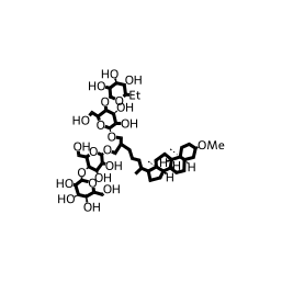 CCC1O[C@@H](OC2C(CO)O[C@@H](OCC(CCCC(C)C3CC[C@H]4[C@@H]5CC[C@@H]6C[C@H](OC)CC[C@]6(C)[C@H]5CC[C@]34C)CO[C@@H]3OC(CO)[C@@H](O[C@H]4OC(CO)[C@@H](O)[C@H](O)C4O)[C@H](O)C3O)C(O)[C@H]2O)C(O)[C@@H](O)[C@@H]1O